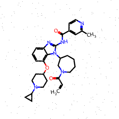 C=CC(=O)N1CCCCC(n2c(NC(=O)c3ccnc(C)c3)nc3cccc(OC4CCN(C5CC5)CC4)c32)C1